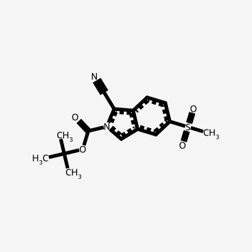 CC(C)(C)OC(=O)n1cc2cc(S(C)(=O)=O)ccc2c1C#N